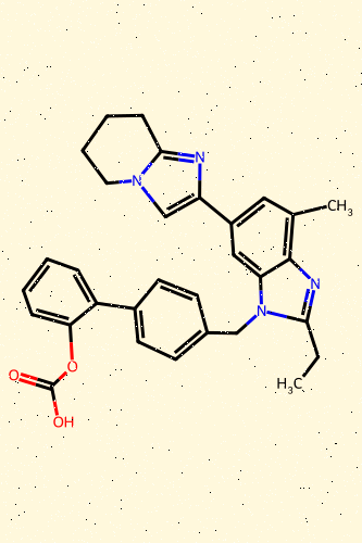 CCc1nc2c(C)cc(-c3cn4c(n3)CCCC4)cc2n1Cc1ccc(-c2ccccc2OC(=O)O)cc1